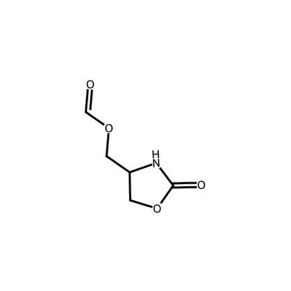 O=COCC1COC(=O)N1